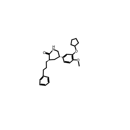 COc1ccc([C@H]2CNC(=O)[C@H](CCCc3ccccc3)C2)cc1OC1CCCC1